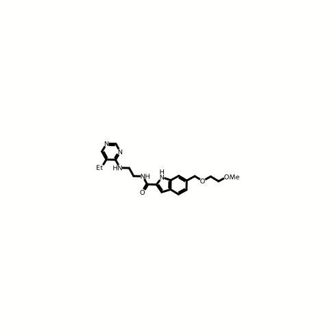 CCc1cncnc1NCCNC(=O)c1cc2ccc(COCCOC)cc2[nH]1